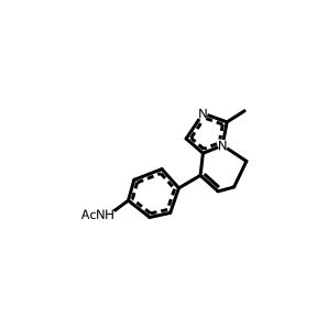 CC(=O)Nc1ccc(C2=CCCn3c2cnc3C)cc1